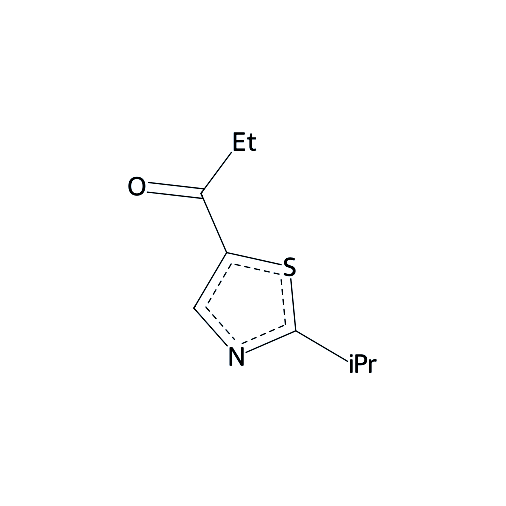 CCC(=O)c1cnc(C(C)C)s1